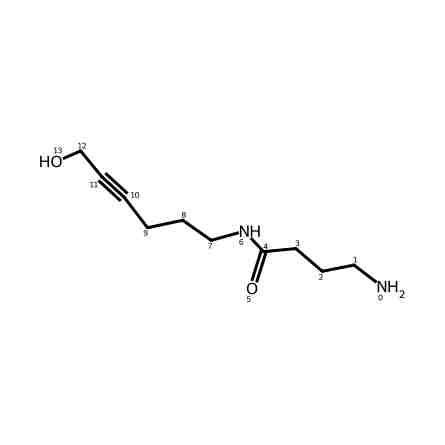 NCCCC(=O)NCCCC#CCO